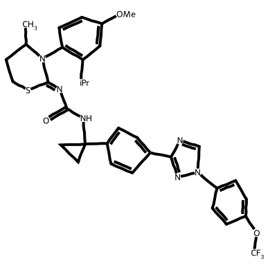 COc1ccc(N2/C(=N/C(=O)NC3(c4ccc(-c5ncn(-c6ccc(OC(F)(F)F)cc6)n5)cc4)CC3)SCCC2C)c(C(C)C)c1